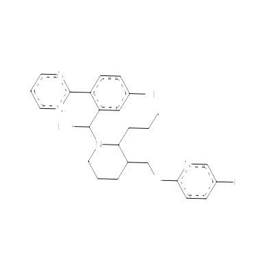 OC(c1cc(Cl)ccc1-c1ncccn1)N1CCCC(COc2ccc(F)cn2)C1CCI